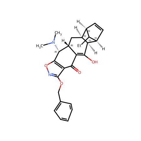 CCC1[C@H]2C=C[C@@H]1[C@@H]1C[C@@H]3C(=C(O)[C@@H]12)C(=O)c1c(OCc2ccccc2)noc1[C@@H]3N(C)C